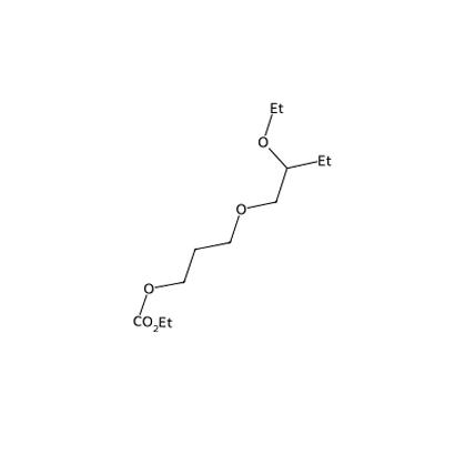 CCOC(=O)OCCCOCC(CC)OCC